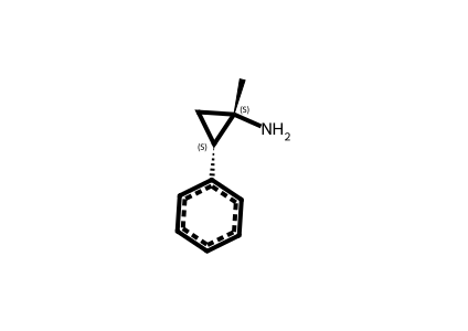 C[C@]1(N)C[C@H]1c1ccccc1